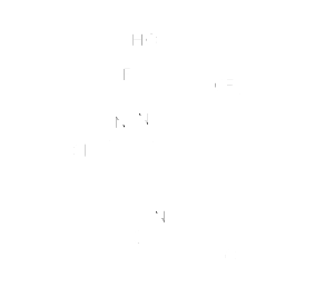 CN(c1ccc2c(c1)c(Cl)nn2-c1cc(C(F)(F)F)c(F)c(O)c1F)C1CCOCC1